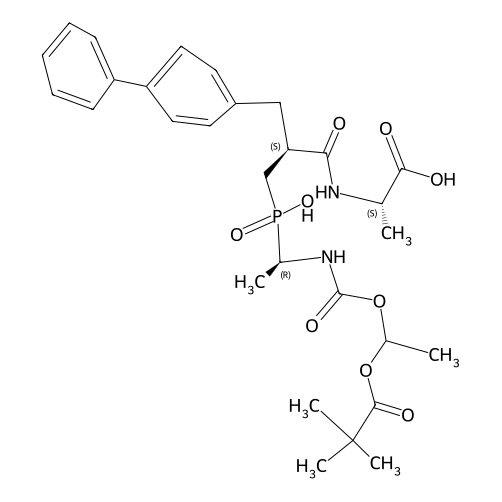 CC(OC(=O)N[C@@H](C)P(=O)(O)C[C@@H](Cc1ccc(-c2ccccc2)cc1)C(=O)N[C@@H](C)C(=O)O)OC(=O)C(C)(C)C